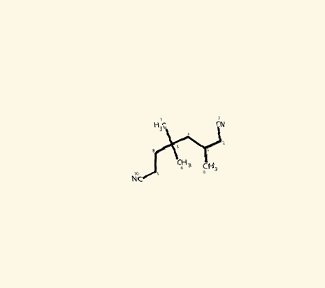 CC(CC#N)CC(C)(C)CCC#N